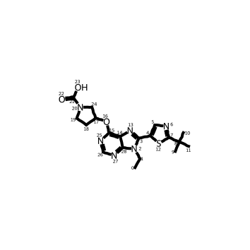 CCn1c(-c2cnc(C(C)(C)C)s2)nc2c(OC3CCN(C(=O)O)C3)ncnc21